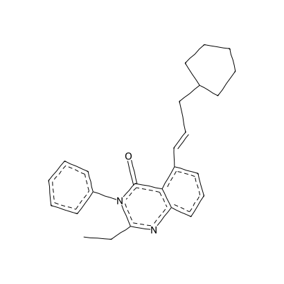 CCc1nc2cccc(/C=C/CC3CCCCC3)c2c(=O)n1-c1ccccc1